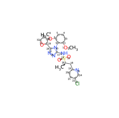 COc1cccc(OC)c1-n1c(NS(=O)(=O)[C@H](C)Cc2ccc(Cl)cn2)nnc1-c1ccco1